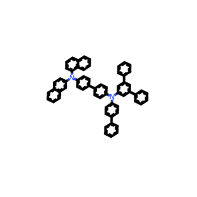 c1ccc(-c2ccc(N(c3ccc(-c4ccc(N(c5ccc6ccccc6c5)c5cccc6ccccc56)cc4)cc3)c3cc(-c4ccccc4)cc(-c4ccccc4)c3)cc2)cc1